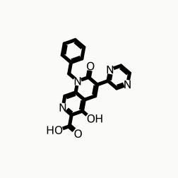 O=C(O)c1ncc2c(cc(-c3cnccn3)c(=O)n2Cc2ccccc2)c1O